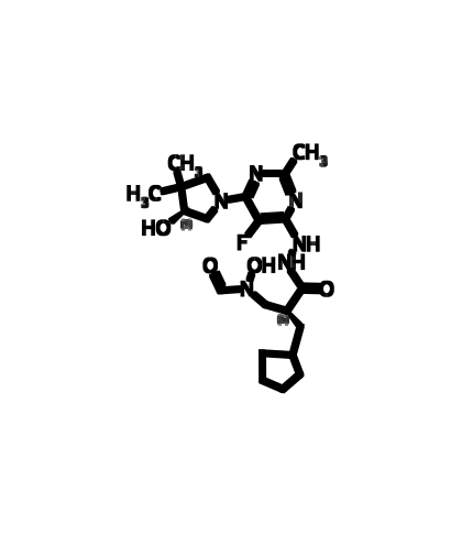 Cc1nc(NNC(=O)[C@@H](CC2CCCC2)CN(O)C=O)c(F)c(N2C[C@@H](O)C(C)(C)C2)n1